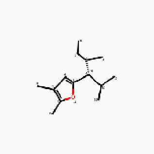 CCC(C)[C@@H](c1cc(C)c(C)o1)C(C)C